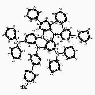 CC(C)(C)c1ccc(-c2ccc(N3c4cc(N(c5ccccc5)c5ccccc5)ccc4B4c5cc(-c6ccccc6)cc6c5N(c5ccc(-c7ccccc7)cc5-c5ccccc5-6)c5cc(N(c6ccccc6)c6ccccc6)cc3c54)cc2)cc1